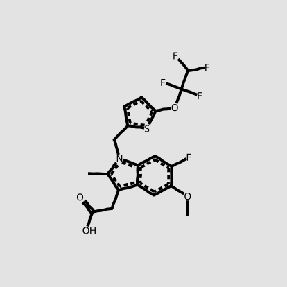 COc1cc2c(CC(=O)O)c(C)n(Cc3ccc(OC(F)(F)C(F)F)s3)c2cc1F